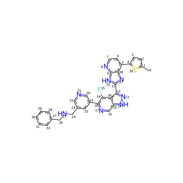 Cc1ccc(-c2ccnc3[nH]c(-c4n[nH]c5cnc(-c6cncc(CNCc7ccccc7)c6)c(F)c45)nc23)s1